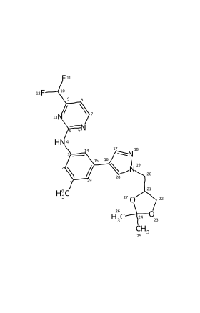 Cc1cc(Nc2nccc(C(F)F)n2)cc(-c2cnn(CC3COC(C)(C)O3)c2)c1